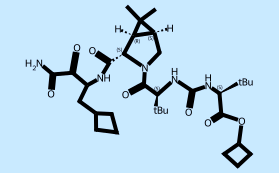 CC(C)(C)[C@H](NC(=O)N[C@H](C(=O)N1C[C@H]2[C@@H]([C@H]1C(=O)NC(CC1CCC1)C(=O)C(N)=O)C2(C)C)C(C)(C)C)C(=O)OC1CCC1